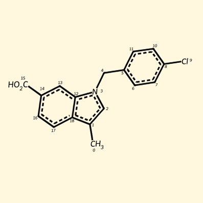 Cc1cn(Cc2ccc(Cl)cc2)c2cc(C(=O)O)ccc12